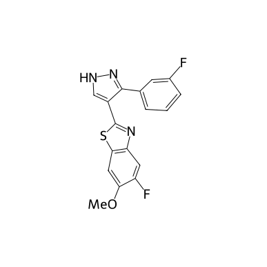 COc1cc2sc(-c3c[nH]nc3-c3cccc(F)c3)nc2cc1F